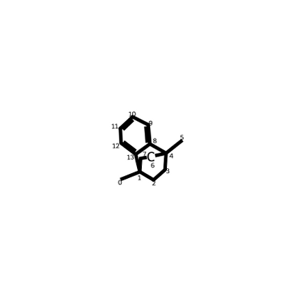 CC12CCC(C)(CC1)c1ccccc12